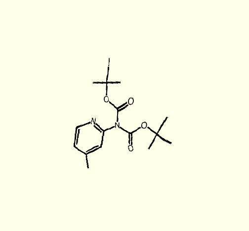 Cc1ccnc(N(C(=O)OC(C)(C)C)C(=O)OC(C)(C)I)c1